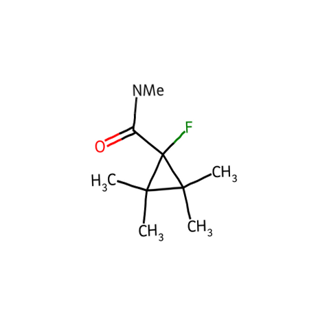 CNC(=O)C1(F)C(C)(C)C1(C)C